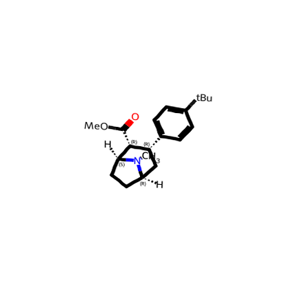 COC(=O)[C@@H]1[C@H](c2ccc(C(C)(C)C)cc2)C[C@H]2CC[C@@H]1N2C